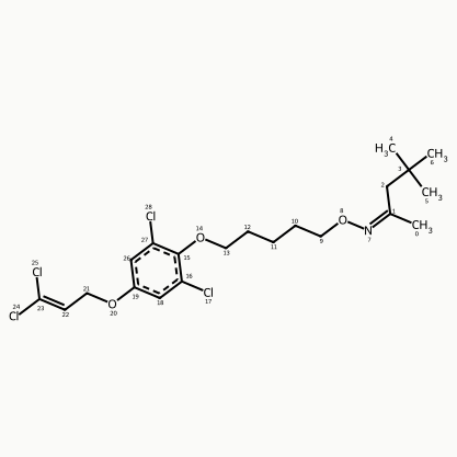 CC(CC(C)(C)C)=NOCCCCCOc1c(Cl)cc(OCC=C(Cl)Cl)cc1Cl